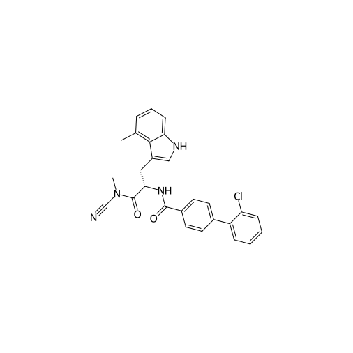 Cc1cccc2[nH]cc(C[C@H](NC(=O)c3ccc(-c4ccccc4Cl)cc3)C(=O)N(C)C#N)c12